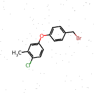 Cc1cc(Oc2ccc(CBr)cc2)ccc1Cl